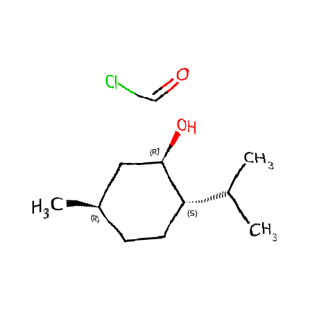 CC(C)[C@@H]1CC[C@@H](C)C[C@H]1O.O=CCl